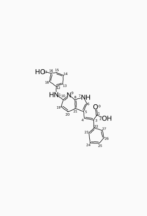 O=C(O)C(=Cc1c[nH]c2nc(Nc3cccc(O)c3)ccc12)c1ccccc1